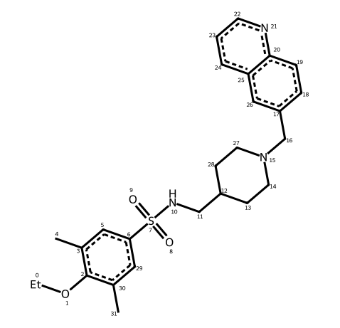 CCOc1c(C)cc(S(=O)(=O)NCC2CCN(Cc3ccc4ncccc4c3)CC2)cc1C